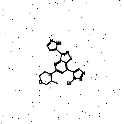 CCn1nncc1-c1cc(N2CCOCC2C)nc2c(-c3ccn[nH]3)nsc12